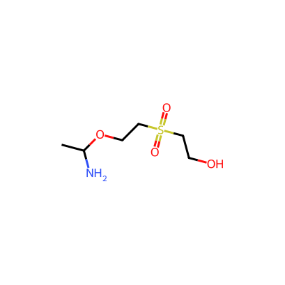 CC(N)OCCS(=O)(=O)CCO